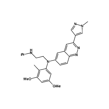 COc1cc(OC)c(C)c(N(CCNC(C)C)c2ccc3nnc(-c4cnn(C)c4)cc3c2)c1